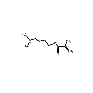 C=C(C)C(=O)OCCCC[SiH](C)C